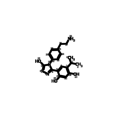 CC(C)c1cc(-c2nnc(O)n2-c2ccc(CCN)cc2)c(O)cc1O